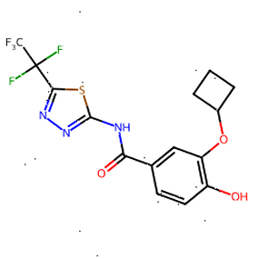 O=C(Nc1nnc(C(F)(F)C(F)(F)F)s1)c1ccc(O)c(OC2CCC2)c1